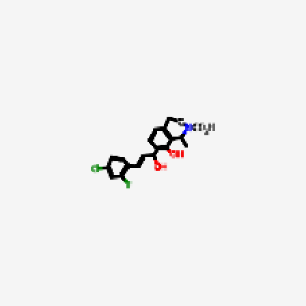 CC1c2c(ccc(C(O)C=Cc3ccc(Cl)cc3F)c2O)CCN1C(=O)O